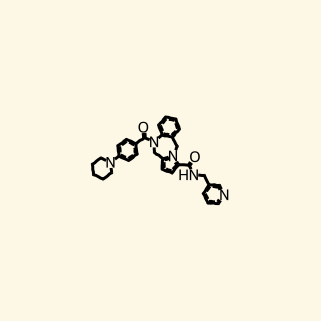 O=C(NCc1cccnc1)c1ccc2n1Cc1ccccc1N(C(=O)c1ccc(N3CCCCC3)cc1)C2